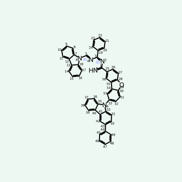 N=C(/N=C(\N=C\n1c2ccccc2c2ccccc21)c1ccccc1)c1ccc2oc3ccc(-n4c5ccccc5c5cc(-c6ccccc6)ccc54)cc3c2c1